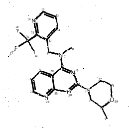 CC1CN(c2nc(N(C)Cc3cccnc3C(F)(F)I)c3cccnc3n2)CCO1